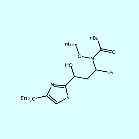 CCCCCCON(C(=O)CCCC)C(CC(O)c1nc(C(=O)OCC)cs1)C(C)C